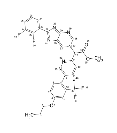 CCCOc1ccc(-c2ccc(C(C(=O)OC)n3cnc4nc(-c5cccc(F)c5F)nc-4c3)nn2)c(C(F)(F)F)c1